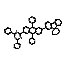 c1ccc(-c2nc(-c3ccccc3)nc(-c3ccc4c(-c5ccccc5)c5cc(-c6ccc7c(c6)C6(CCCCC6)c6ccccc6-7)ccc5c(-c5ccccc5)c4c3)n2)cc1